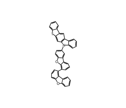 c1ccc2c(c1)oc1cccc(-c3cccc4c3oc3ccc(-n5c6ccccc6c6cc7c(cc65)sc5ccccc57)cc34)c12